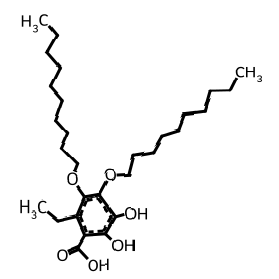 CCCCCCCCCCOc1c(O)c(O)c(C(=O)O)c(CC)c1OCCCCCCCCCC